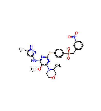 COc1c(Nc2cc(C)[nH]n2)nc(Sc2ccc(S(=O)(=O)Cc3cccc([N+](=O)[O-])c3)cc2)nc1N1CCOC[C@@H]1C